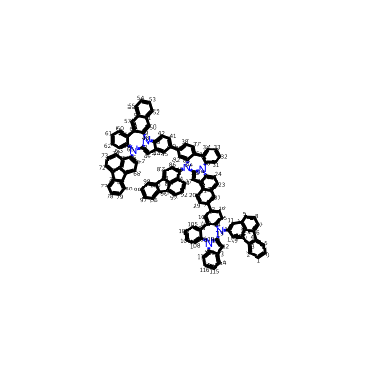 c1ccc2c(c1)-c1cccc3cc(N4c5ccc(-c6ccc7c(ccc8c7cc7n8-c8ccccc8-c8ccc(-c9ccc%10c(c9)cc9n%10-c%10cc%11ccccc%11cc%10-c%10ccccc%10N9c9ccc%10c%11c(cccc9%11)-c9ccccc9-%10)cc8N7c7ccc8c9c(cccc79)-c7ccccc7-8)c6)cc5-c5ccccc5-n5c4cc4ccccc45)cc-2c13